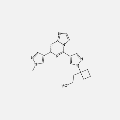 Cn1cc(-c2cc3nccn3c(-c3cnn(C4(CCO)CCC4)c3)n2)cn1